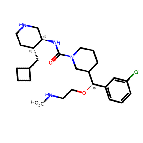 O=C(O)NCCO[C@@H](c1cccc(Cl)c1)C1CCCN(C(=O)N[C@@H]2CNCC[C@H]2CC2CCC2)C1